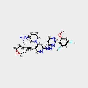 COc1cc(F)cc(F)c1-c1nccc(Nc2cc(N3CCC[C@H](N)C3)c(C#CC3(C)CCOCC3)cn2)n1